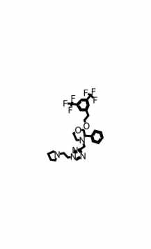 FC(F)(F)c1cc(CCOC2OCCN(Cc3ncn(CCN4CCCC4)n3)C2c2ccccc2)cc(C(F)(F)F)c1